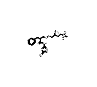 CCc1nnc(NC(=O)C(CSSCC(N)CCS(C)(=O)=O)Cc2ccccc2)s1